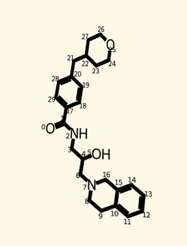 O=C(NCC(O)CN1CCc2ccccc2C1)c1ccc(CC2CCOCC2)cc1